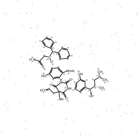 C=CCC1(C(C)CC)C(=O)NC(=O)NC1=O.CC(=O)Nc1ccc(O)cc1.CC[C@@H](c1cccc(O)c1)[C@@H](C)CN(C)C.NC(=O)C[S+]([O-])C(c1ccccc1)c1ccccc1